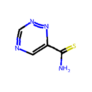 NC(=S)c1cncnn1